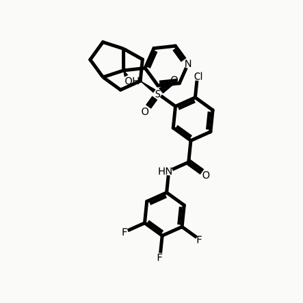 O=C(Nc1cc(F)c(F)c(F)c1)c1ccc(Cl)c(S(=O)(=O)[C@H]2CC3CCC(C2)[C@]3(O)c2ccncc2)c1